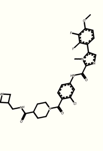 COc1ccc(-c2cnc(C(=O)Nc3ccc(C(=O)N4CCC(C(=O)NCC5CNC5)CC4)c(Cl)c3)n2C)c(F)c1F